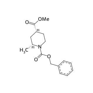 COC(=O)[C@@H]1CCN(C(=O)OCc2ccccc2)[C@H](C)C1